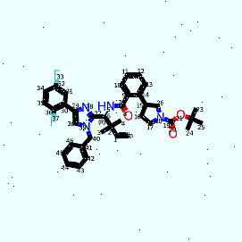 C=CC(C)(C)[C@@H](NC(=O)c1ccccc1C1CCN(C(=O)OC(C)(C)C)C1)c1nc(-c2cc(F)ccc2F)cn1Cc1ccccc1